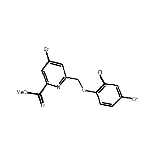 CCc1cc(COc2ccc(C(F)(F)F)cc2Cl)nc(C(=O)OC)c1